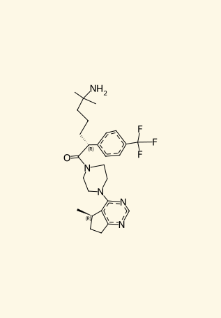 C[C@@H]1CCc2ncnc(N3CCN(C(=O)[C@H](CCCC(C)(C)N)c4ccc(C(F)(F)F)cc4)CC3)c21